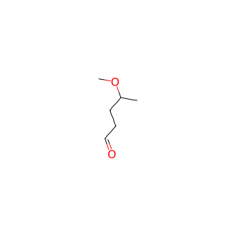 COC(C)CCC=O